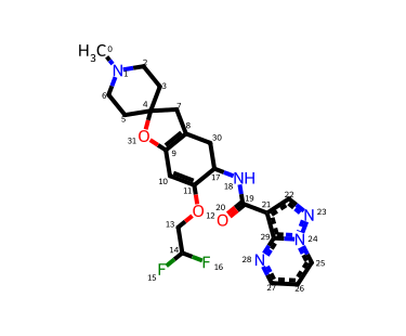 CN1CCC2(CC1)CC1=C(C=C(OCC(F)F)C(NC(=O)c3cnn4cccnc34)C1)O2